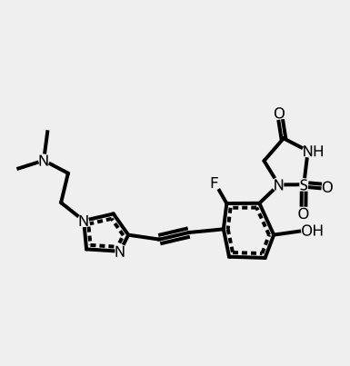 CN(C)CCn1cnc(C#Cc2ccc(O)c(N3CC(=O)NS3(=O)=O)c2F)c1